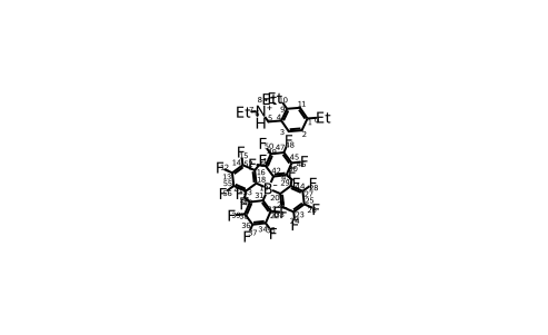 CCc1ccc(C[NH+](CC)CC)c(CC)c1.Fc1c(F)c(F)c([B-](c2c(F)c(F)c(F)c(F)c2F)(c2c(F)c(F)c(F)c(F)c2F)c2c(F)c(F)c(F)c(F)c2F)c(F)c1F